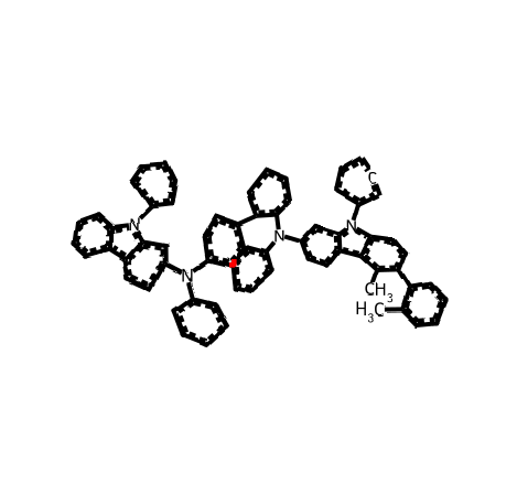 Cc1ccccc1-c1ccc2c(c1C)c1ccc(N(c3ccccc3)c3ccccc3-c3ccc(N(c4ccccc4)c4ccc5c6ccccc6n(-c6ccccc6)c5c4)cc3)cc1n2-c1ccccc1